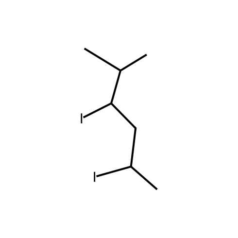 CC(I)CC(I)C(C)C